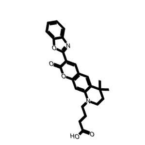 CC1(C)CCN(CCCC(=O)O)c2cc3oc(=O)c(-c4nc5ccccc5o4)cc3cc21